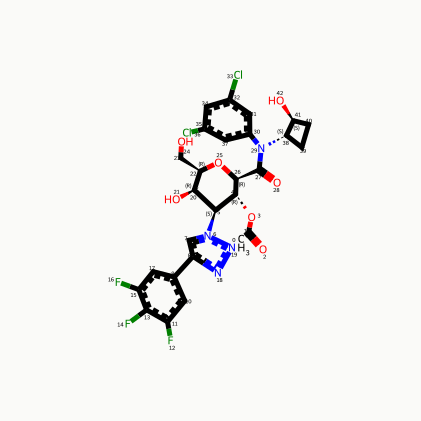 CC(=O)O[C@@H]1[C@@H](n2cc(-c3cc(F)c(F)c(F)c3)nn2)[C@@H](O)[C@@H](CO)O[C@H]1C(=O)N(c1cc(Cl)cc(Cl)c1)[C@H]1CC[C@@H]1O